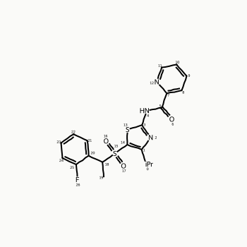 CC(C)c1nc(NC(=O)c2ccccn2)sc1S(=O)(=O)C(C)c1ccccc1F